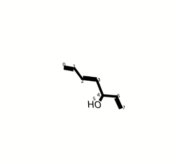 C=CC=CC(O)C=C